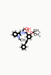 CCn1cc(C[C@H](CO)NC(=O)c2cc(C#Cc3ccccc3)ccc2OC(C)C)c2ccccc21